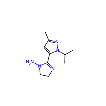 Cc1cc(C2=NCCN2N)n(C(C)C)n1